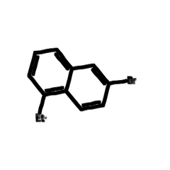 C[CH]c1cccc2cc(Br)ccc12